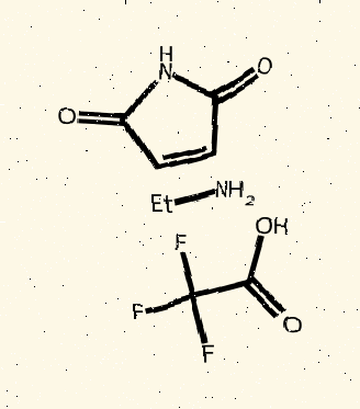 CCN.O=C(O)C(F)(F)F.O=C1C=CC(=O)N1